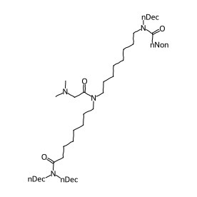 CCCCCCCCCCN(CCCCCCCCN(CCCCCCCC(=O)N(CCCCCCCCCC)CCCCCCCCCC)C(=O)CN(C)C)C(=O)CCCCCCCCC